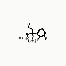 CC(CCO)(N[S@+]([O-])C(C)(C)C)c1cccc(F)c1Cl